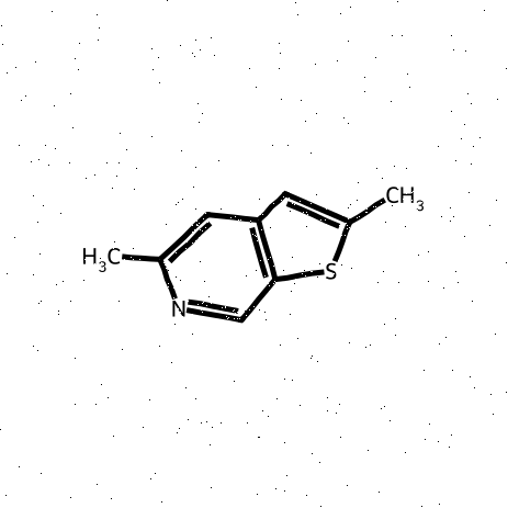 Cc1cc2cc(C)sc2cn1